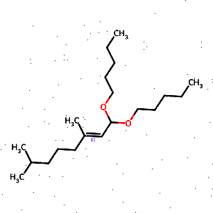 CCCCCOC(/C=C(\C)CCCC(C)C)OCCCCC